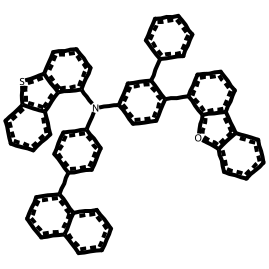 c1ccc(-c2cc(N(c3ccc(-c4cccc5ccccc45)cc3)c3cccc4sc5ccccc5c34)ccc2-c2cccc3c2oc2ccccc23)cc1